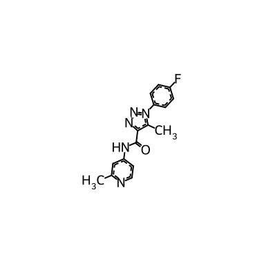 Cc1cc(NC(=O)c2nnn(-c3ccc(F)cc3)c2C)ccn1